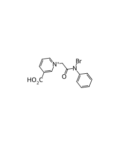 O=C(O)c1ccc[n+](CC(=O)N(Br)c2ccccc2)c1